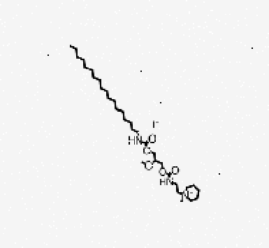 CCCCCCCCCCCCCCCCCCNC(=O)OCC(COC(=O)NCC[N+]1(C)CCCCC1)OC.[I-]